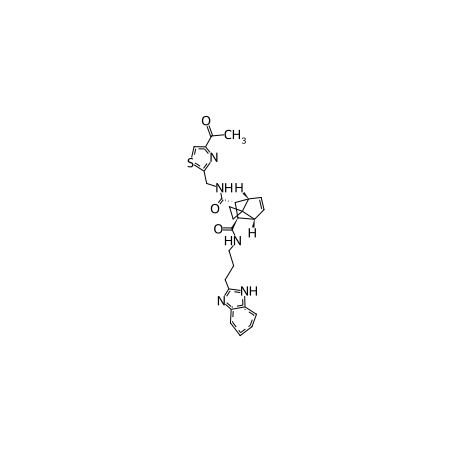 CC(=O)c1csc(CNC(=O)[C@H]2[C@H](C(=O)NCCCc3nc4ccccc4[nH]3)[C@H]3C=C[C@@H]2C32CC2)n1